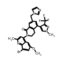 COc1cc(Br)c2nc(C)cc(N3CCc4c(cc(Cn5ccnc5)cc4-c4cn(C)nc4C(F)(F)F)C3=O)c2c1